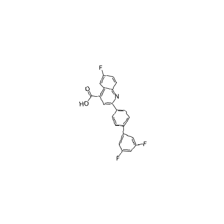 O=C(O)c1cc(-c2ccc(-c3cc(F)cc(F)c3)cc2)nc2ccc(F)cc12